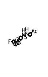 CC(=O)c1cccc(NC(=S)Nc2ccc(S(=O)(=O)N3c4ccc(F)cc4CCC3C)cc2)c1